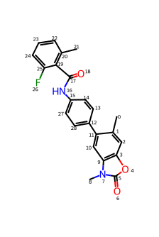 Cc1cc2oc(=O)n(C)c2cc1-c1ccc(NC(=O)c2c(C)cccc2F)cc1